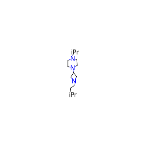 CC(C)CCN1CC(N2CCN(C(C)C)CC2)C1